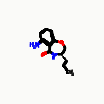 CCC[C@H]1COc2cccc(N)c2C(=O)N1